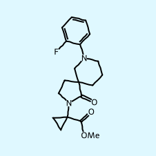 COC(=O)C1(N2CCC3(CCCN(c4ccccc4F)C3)C2=O)CC1